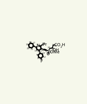 COP(=O)(C#Cc1c(-c2ccc(F)cc2)cc(-c2ccccc2)nc1C(C)C)CC(O)CC(=O)O